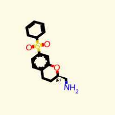 NC[C@H]1CCc2ccc(S(=O)(=O)C3C=CC=CC3)cc2O1